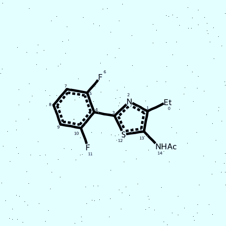 CCc1nc(-c2c(F)cccc2F)sc1NC(C)=O